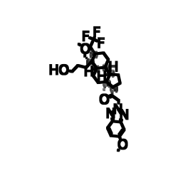 COC[C@]1(CCCO)[C@@H](CC(F)(F)F)CC[C@H]2[C@@H]3CC[C@H](C(=O)Cn4nc5ccc(OC)cc5n4)[C@@]3(C)CC[C@@H]21